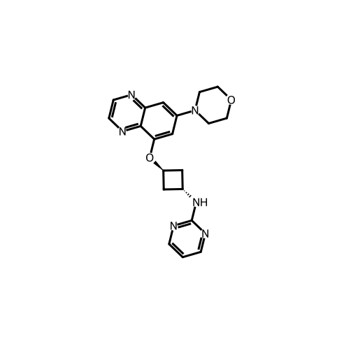 c1cnc(N[C@H]2C[C@H](Oc3cc(N4CCOCC4)cc4nccnc34)C2)nc1